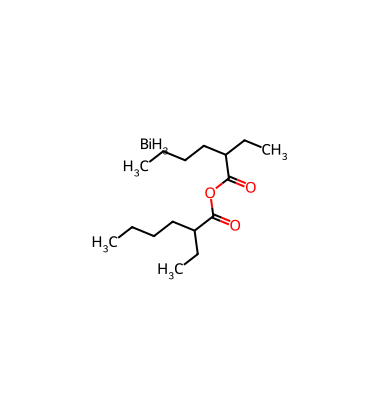 CCCCC(CC)C(=O)OC(=O)C(CC)CCCC.[BiH3]